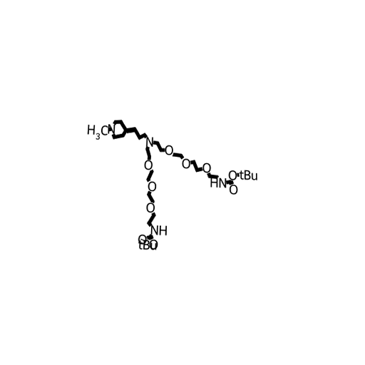 CN1CCC(=CCCN(CCOCCOCCOCCNC(=O)OC(C)(C)C)CCOCCOCCOCCNC(=O)OC(C)(C)C)CC1